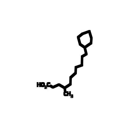 CC(CCCCCCCC1CCCCCC1)CCC(=O)O